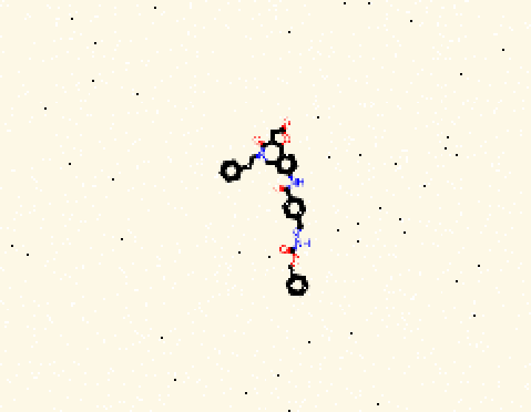 O=C1CC2C(=O)N(CCc3ccccc3)Cc3cc(NC(=O)c4ccc(C=NNC(=O)OCc5ccccc5)cc4)ccc3C2O1